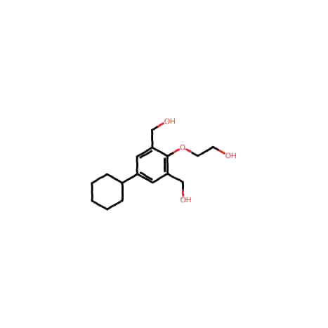 OCCOc1c(CO)cc(C2CCCCC2)cc1CO